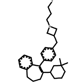 CC1(C)CCCC(C2=C(c3ccc(CC4CN(CCCF)C4)cc3)c3ccccc3CCC2)C1